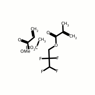 C=C(C)C(=O)OCC(F)(F)C(F)F.C=CC(=O)OC.CCOC(C)=O